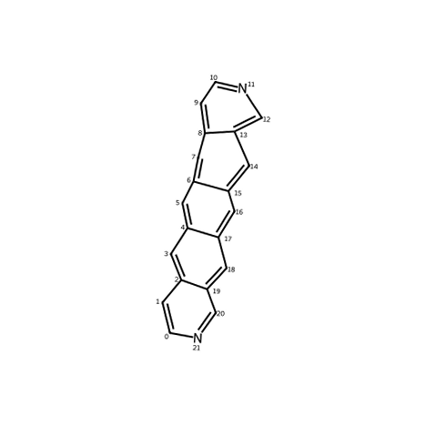 c1cc2cc3cc4cc5ccncc5cc4cc3cc2cn1